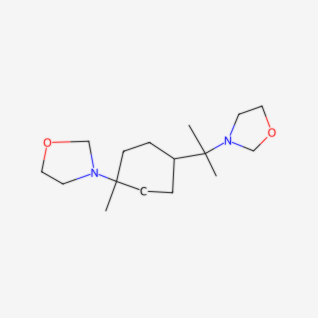 CC1(N2CCOC2)CCC(C(C)(C)N2CCOC2)CC1